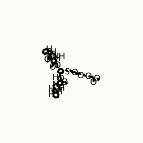 C=C1[C@@H]2CC(OC)=C(OCC3=C[C@@H](CSCCOCCOCCOCCC(=O)OC)C[C@@H](COC4=C(OC)C[C@@H]5C(=O)N6C7=CCCC[C@@H]7C[C@H]6CN[C@@H]5C4)C3)CC2NC[C@@H]2C[C@@H]3CCCC[C@@H]3N12